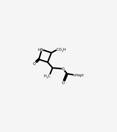 CCCCCCCC(=O)OC(C)C1C(=O)NC1C(=O)O